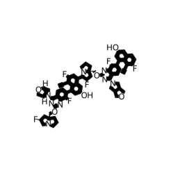 C#Cc1c(F)ccc2cc(O)cc(-c3ccc4c(N5CC6COCC6C5)nc(OC[C@@]56CCCN5C(c5cc(F)c(C#C)c7c(-c8ccc9c(N%10C[C@@H]%11C[C@H]%10CO%11)nc(OC[C@@]%10%11CCCN%10C[C@H](F)C%11)nc9c8F)cc(O)cc57)[C@H](F)C6)nc4c3F)c12